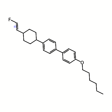 CCCCCCOc1ccc(-c2ccc(C3CCC(/C=C/F)CC3)cc2)cc1